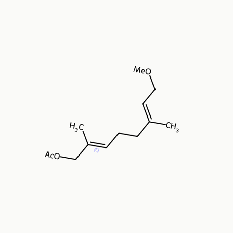 COCC=C(C)CC/C=C(\C)COC(C)=O